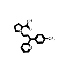 Cc1ccc(C(C=CN2CCCC2C(=O)O)c2ccccn2)cc1